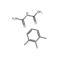 Cc1cccc(C)c1C.NC(=O)NC(N)=O